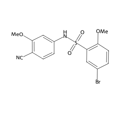 COc1cc(NS(=O)(=O)c2cc(Br)ccc2OC)ccc1C#N